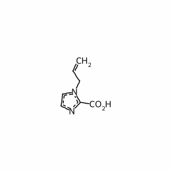 C=CCn1ccnc1C(=O)O